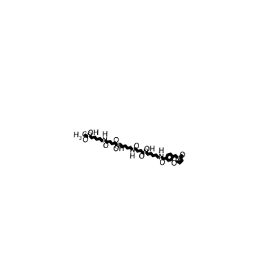 CC(=O)N(O)CCCCCNC(=O)CCC(=O)N(O)CCCCCNC(=O)CCC(=O)N(O)CCCCCNC(=O)C1CCC(CN2C(=O)C=CC2=O)CC1